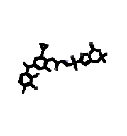 Cc1cc(C(C)c2ccc(F)c(Cl)c2F)cc(C2CC2)c1CC(=O)/C=C/S(=O)(=O)c1cc2n(n1)C(=O)OC(C)(C)C2